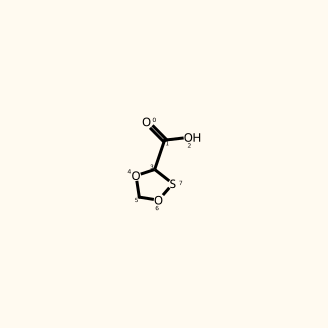 O=C(O)C1OCOS1